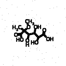 COC(C)(C(=O)O)C(O)C(O)C(O)C(=O)O